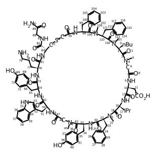 CCCC[C@H]1C(=O)N(C)CC(=O)N[C@@H](CC(=O)O)C(=O)N[C@@H](C(C)C)C(=O)N(C)[C@@H](Cc2ccccc2)C(=O)N[C@@H](Cc2ccc(O)cc2)C(=O)N(C)CC(=O)N[C@@H](Cc2c[nH]c3ccccc23)C(=O)NC(Cc2ccc(O)cc2)C(=O)N[C@@H](CCCN)C(=O)N[C@H](C(=O)NCC(N)=O)CSCC(=O)N[C@@H](Cc2ccccc2)C(=O)N(C)[C@@H](Cc2ccccc2)C(=O)N1C